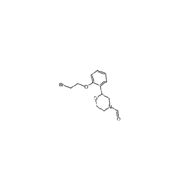 O=CN1CCOC(c2ccccc2OCCBr)C1